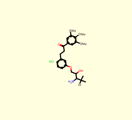 CCC(C)(C)C(N)C(O)COc1cccc(CCC(=O)c2cc(OC)c(OC)c(OC)c2)c1.Cl